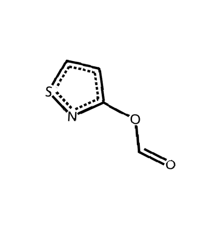 O=COc1ccsn1